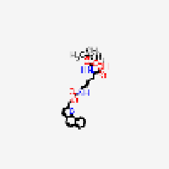 CC(C)(C)OC(=O)NC(CCCCNC(=O)OCc1ccc2ccc3ccccc3c2n1)C(=O)O